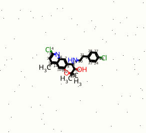 Cc1cc(Cl)nc2cc3c(cc12)OC(C)(C)C(O)C3NCCc1ccc(Cl)cc1